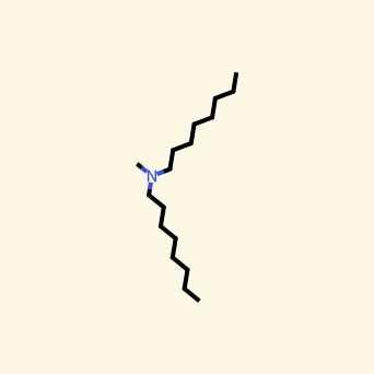 CCCCCCCCN(C)CCCCCCCC